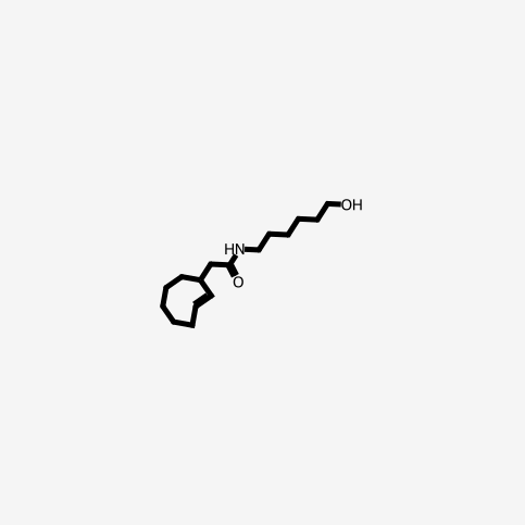 O=C(CC1/C=C/CCCCC1)NCCCCCCO